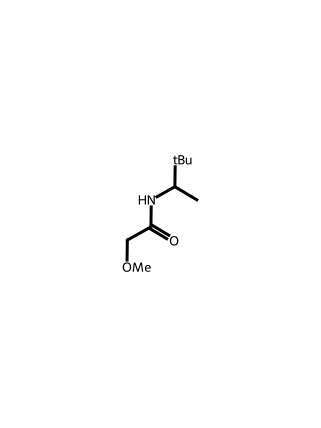 COCC(=O)NC(C)C(C)(C)C